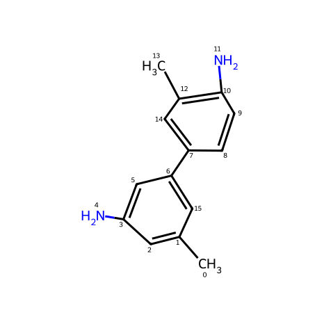 Cc1cc(N)cc(-c2ccc(N)c(C)c2)c1